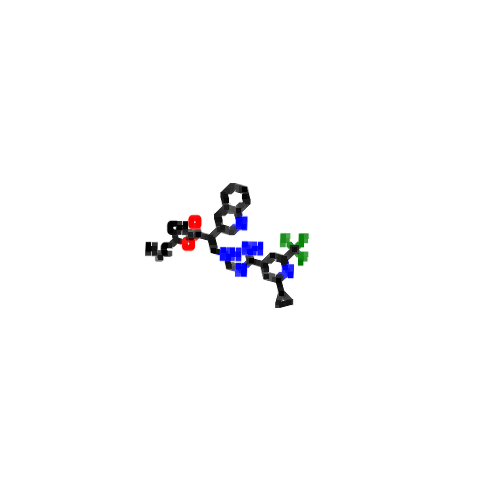 CC(C)OC(=O)/C(=C/N/C=N\C(=N)c1cc(C2CC2)nc(C(F)(F)F)c1)c1cnc2ccccc2c1